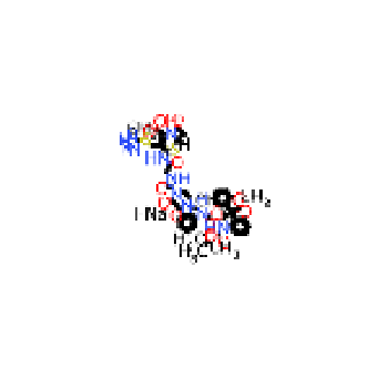 CC[N+]1(c2ccccc2NC(=O)OCC(C(=O)OC)(c2ccccc2)c2ccccc2NC(=O)OC(C)(C)C)CCN(C(=O)NCC(=O)N[C@H]2S[C@H]3CC(=O)N3C(C(=O)O)=C2CSc2nnnn2C)C(=O)C1=O.[NaH]